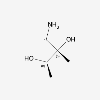 [CH2][C@@H](O)[C@@](C)(O)[CH]N